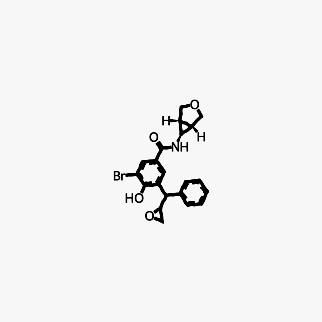 O=C(N[C@H]1[C@@H]2COC[C@@H]21)c1cc(Br)c(O)c(C(c2ccccc2)C2CO2)c1